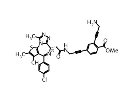 COC(=O)c1ccc(C#CCNC(=O)C[C@@H]2N=C(c3ccc(Cl)cc3)c3c(sc(C)c3C)-n3c(C)nnc32)cc1C#CCN